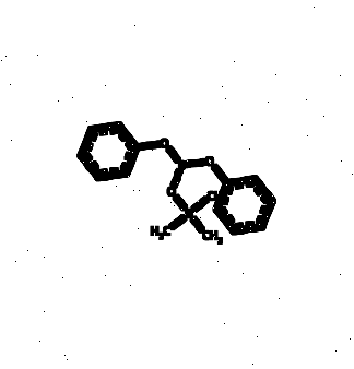 C[Si](C)(C)OB(Oc1ccccc1)Oc1ccccc1